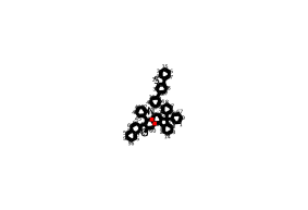 c1ccc(C2(c3ccccc3)c3ccccc3-c3ccc(N(c4ccc(-c5ccc6c(c5)sc5ccccc56)cc4)c4ccccc4-c4cccc5oc6c7ccccc7ccc6c45)cc32)cc1